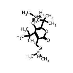 C[SiH](C)OCc1c(C(C)(C)C)c(O[SiH](C)C)c(C(C)(C)C)oc1=O